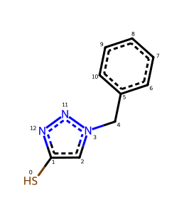 Sc1cn(Cc2ccccc2)nn1